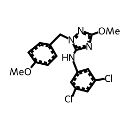 COc1ccc(Cn2nc(OC)nc2Nc2cc(Cl)cc(Cl)c2)cc1